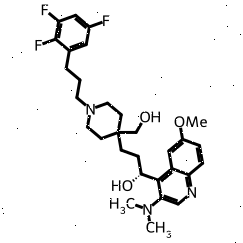 COc1ccc2ncc(N(C)C)c([C@H](O)CCC3(CO)CCN(CCCc4cc(F)cc(F)c4F)CC3)c2c1